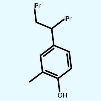 Cc1cc(C(CC(C)C)C(C)C)ccc1O